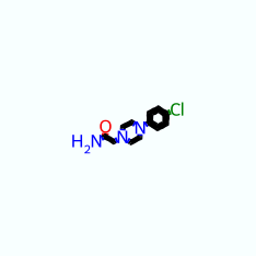 NC(=O)CN1CCN(c2ccc(Cl)cc2)CC1